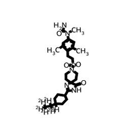 [2H]C([2H])([2H])C([2H])([2H])C1([2H])CCC(C2=NC3(CCN(S(=O)(=O)CCc4c(C)cc(N(C)C(N)=O)cc4C)CC3)C(=O)N2)CC1